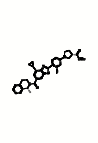 COC(=O)[C@H]1CCN(c2ccc(-c3nc4c(C5CC5)cc(C(=O)N5CCc6ccccc6[C@H]5C)cc4o3)c(F)c2)C1